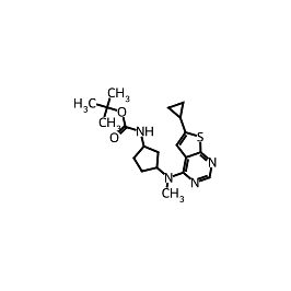 CN(c1ncnc2sc(C3CC3)cc12)C1CCC(NC(=O)OC(C)(C)C)C1